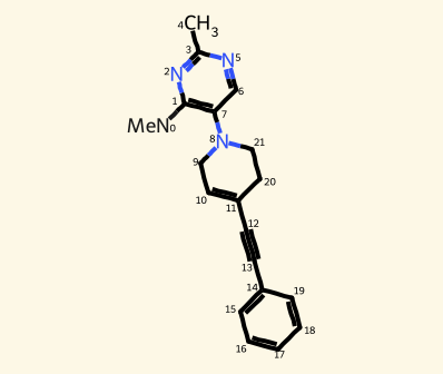 CNc1nc(C)ncc1N1CC=C(C#Cc2ccccc2)CC1